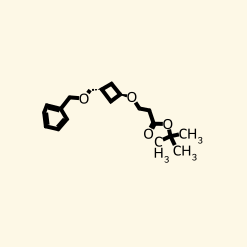 CC(C)(C)OC(=O)CCO[C@H]1C[C@H](COCc2ccccc2)C1